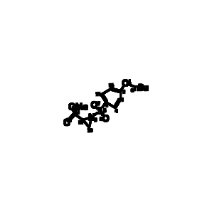 CCCCOc1ccc(S(=O)(=O)N2CC2C(=O)OC)cc1